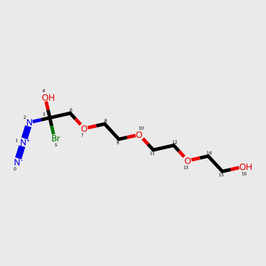 [N-]=[N+]=NC(O)(Br)COCCOCCOCCO